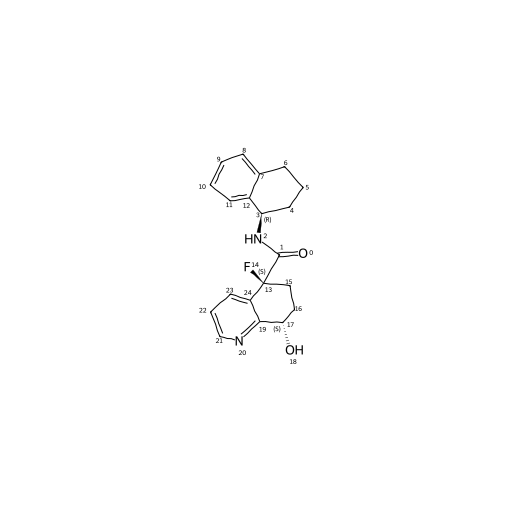 O=C(N[C@@H]1CCCc2ccccc21)[C@]1(F)CC[C@H](O)c2ncccc21